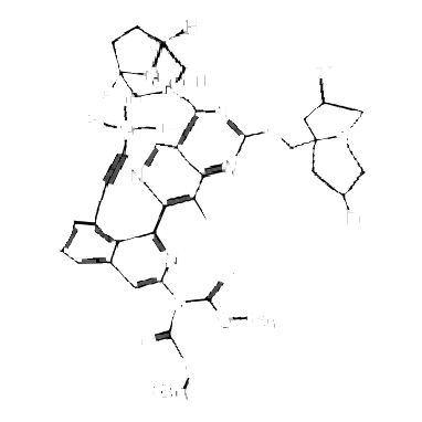 CCC1CN2CC(CC)CC2(COc2nc(N3C[C@H]4CC[C@@H](C3)N4C(=O)O)c3cnc(-c4nc(N(C(=O)OC(C)(C)C)C(=O)OC(C)(C)C)cc5cccc(C#C[Si](C(C)C)(C(C)C)C(C)C)c45)c(F)c3n2)C1